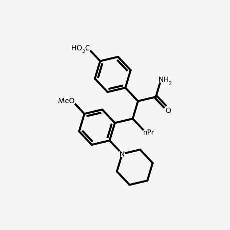 CCCC(c1cc(OC)ccc1N1CCCCC1)C(C(N)=O)c1ccc(C(=O)O)cc1